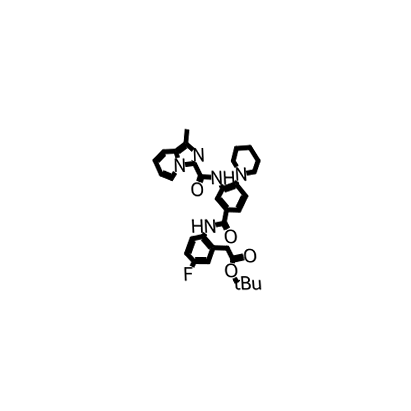 Cc1nc(C(=O)Nc2cc(C(=O)Nc3ccc(F)cc3CC(=O)OC(C)(C)C)ccc2N2CCCCC2)n2ccccc12